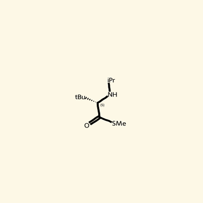 CSC(=O)[C@@H](NC(C)C)C(C)(C)C